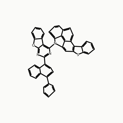 c1ccc(-c2ccc(-c3nc(-n4c5cccc6ccc7c8c(cc4c7c65)sc4ccccc48)c4c(n3)oc3ccccc34)c3ccccc23)cc1